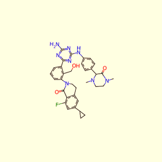 CN1CCN(C)C(c2ccc(Nc3nc(N)nc(-c4cccc(N5CCc6cc(C7CC7)cc(F)c6C5=O)c4CO)n3)cc2)C1=O